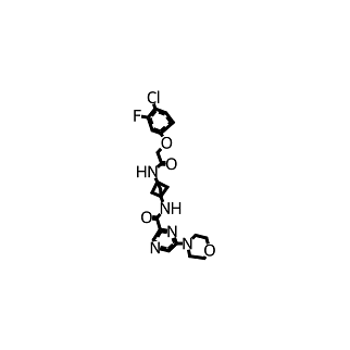 O=C(COc1ccc(Cl)c(F)c1)NC12CC(NC(=O)c3cncc(N4CCOCC4)n3)(C1)C2